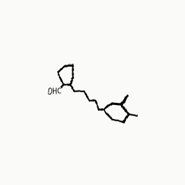 CC1CCC(CCCCCC2CCCCC2C=O)CC1C